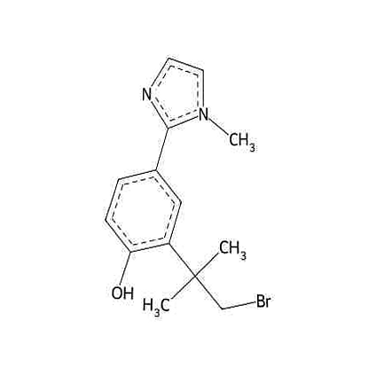 Cn1ccnc1-c1ccc(O)c(C(C)(C)CBr)c1